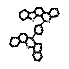 c1ccc2c(c1)ccc1c(-c3ccc(-c4nc5ccccc5c5ccc6c7ccccc7sc6c45)cc3)c3ccc4ccccc4c3nc12